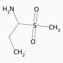 [CH2]CC(N)S(C)(=O)=O